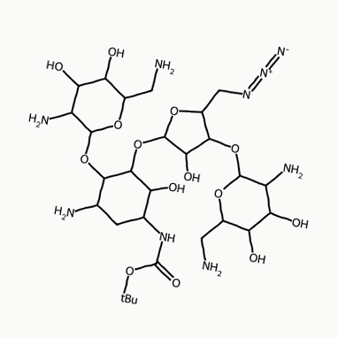 CC(C)(C)OC(=O)NC1CC(N)C(OC2OC(CN)C(O)C(O)C2N)C(OC2OC(CN=[N+]=[N-])C(OC3OC(CN)C(O)C(O)C3N)C2O)C1O